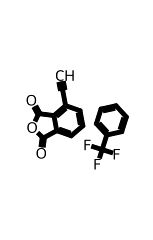 C#Cc1cccc2c1C(=O)OC2=O.FC(F)(F)c1ccccc1